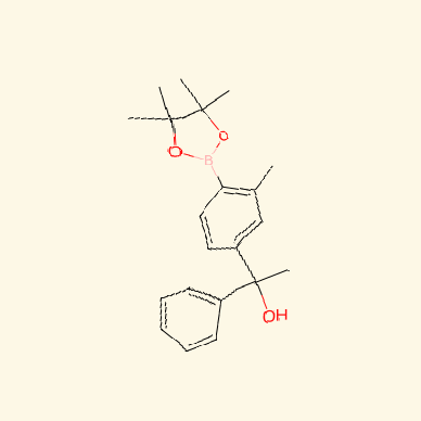 Cc1cc(C(C)(O)c2ccccc2)ccc1B1OC(C)(C)C(C)(C)O1